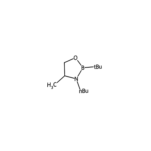 CCCCN1B(C(C)(C)C)OCC1C